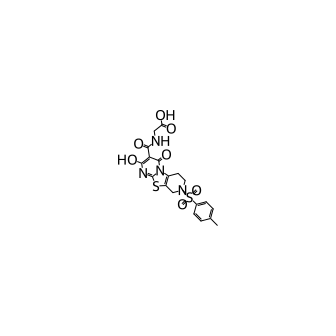 Cc1ccc(S(=O)(=O)N2CCc3c(sc4nc(O)c(C(=O)NCC(=O)O)c(=O)n34)C2)cc1